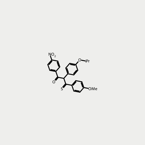 COc1ccc(C(=S)C(C(=O)c2ccc([N+](=O)[O-])cc2)c2ccc(OC(C)C)cc2)cc1